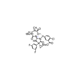 COC(=O)c1cc([C@@H](COC(=O)N(C)C)N2C(=O)[C@](c3cc(F)cc(F)c3)(C3CC3)N/C2=N\C(=O)OC(C)(C)C)ccc1Cl